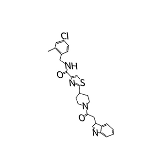 Cc1cc(Cl)ccc1CNC(=O)c1csc(C2CCN(C(=O)CC3C=Nc4ccccc43)CC2)n1